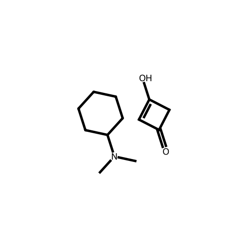 CN(C)C1CCCCC1.O=C1C=C(O)C1